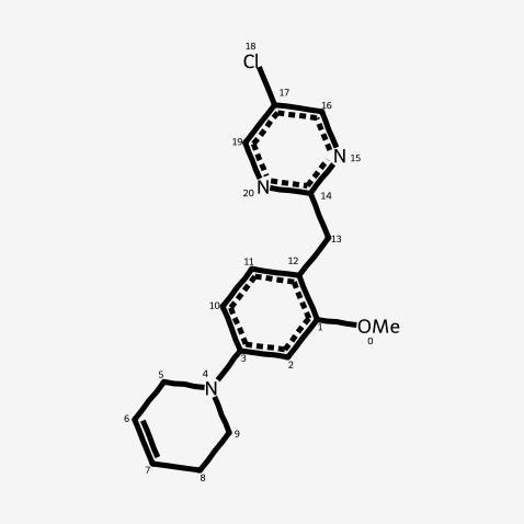 COc1cc(N2CC=CCC2)ccc1Cc1ncc(Cl)cn1